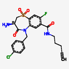 C#CCCCNC(=O)c1cc2c(cc1F)S(=O)(=O)C[C@H](N)C(=O)N2Cc1ccc(Cl)cc1